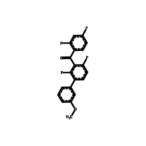 COc1cccc(-c2ccc(F)c(C(=O)c3ccc(F)cc3F)c2F)c1